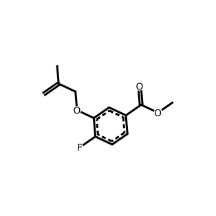 C=C(C)COc1cc(C(=O)OC)ccc1F